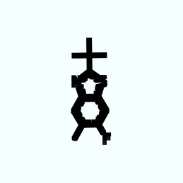 Cc1cc2nc(C(C)(C)C)sc2cc1F